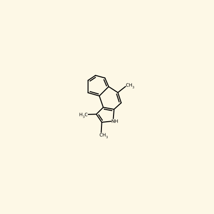 Cc1[nH]c2cc(C)c3ccccc3c2c1C